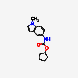 Cn1ccc2cc(NC(=O)OC3CCCC3)ccc21